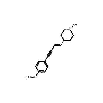 CCC[Si@H]1CC[C@H](C=CC#Cc2ccc(OC(F)(F)F)cc2)CC1